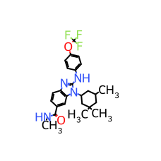 CNC(=O)c1ccc2nc(Nc3ccc(OC(F)(F)F)cc3)n(C3CC(C)CC(C)(C)C3)c2c1